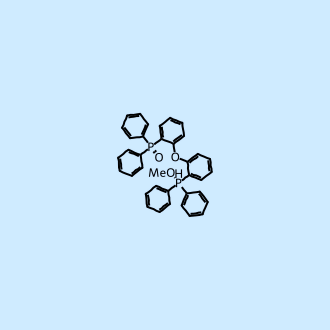 CO[PH](c1ccccc1)(c1ccccc1)c1ccccc1Oc1ccccc1P(=O)(c1ccccc1)c1ccccc1